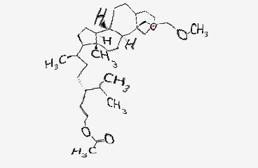 COCOC[C@]12CCCCC1CC[C@@H]1[C@@H]2CC[C@]2(C)[C@@H]([C@H](C)CC[C@@H](CCOC(C)=O)C(C)C)CC[C@@H]12